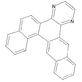 c1ccc2cc3c(cc2c1)c1nccnc1c1ccc2ccccc2c31